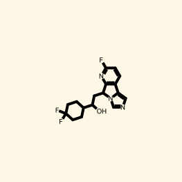 OC(CC1c2nc(F)ccc2-c2cncn21)C1CCC(F)(F)CC1